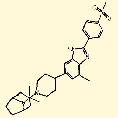 Cc1cc(C2CCN(C3CC4CCC(C3)N4C(C)C)CC2)cc2[nH]c(-c3ccc(S(C)(=O)=O)cc3)nc12